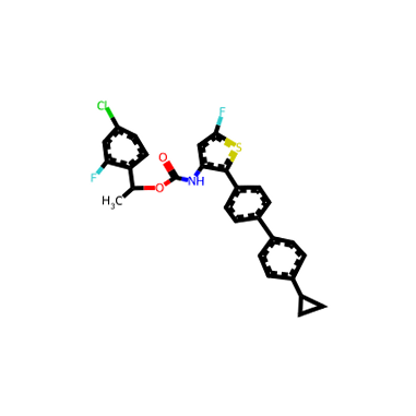 CC(OC(=O)Nc1cc(F)sc1-c1ccc(-c2ccc(C3CC3)cc2)cc1)c1ccc(Cl)cc1F